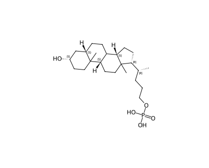 C[C@H](CCCOP(=O)(O)O)[C@H]1CC[C@H]2C3CC[C@H]4C[C@@H](O)CCC4(C)[C@H]3CCC12C